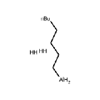 CCCCCCC[CH2][AlH2].[HH].[HH]